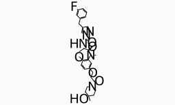 CN1C(=O)[C@@H](NC(=O)n2cc(Cc3cccc(F)c3)cn2)COc2ccc(OCC(=O)N3CCC(C)(O)CC3)cc21